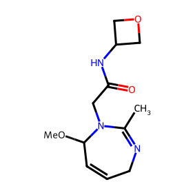 COC1C=CCN=C(C)N1CC(=O)NC1COC1